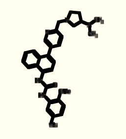 COc1ccc(C(C)(C)C)cc1NC(=O)Nc1ccc(-c2ccc(CN3CCC(N(C)C)C3)nc2)c2ccccc12